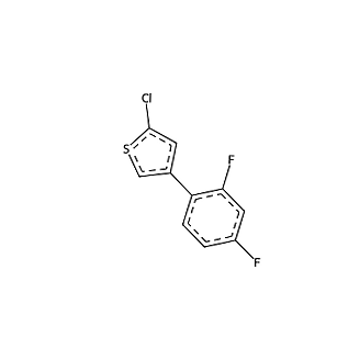 Fc1ccc(-c2csc(Cl)c2)c(F)c1